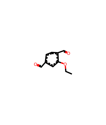 CCOc1cc(C=O)ccc1C=O